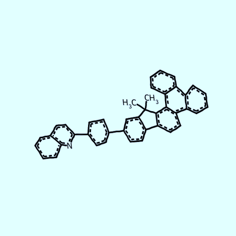 CC1(C)c2cc(-c3ccc(-c4ccc5ccccc5n4)cc3)ccc2-c2ccc3c4ccccc4c4ccccc4c3c21